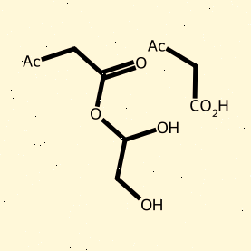 CC(=O)CC(=O)O.CC(=O)CC(=O)OC(O)CO